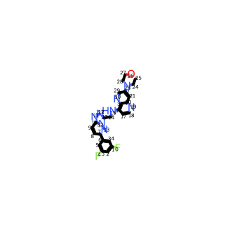 Fc1cc(F)cc(-c2ccc3nnc(CNc4ccnc5cc(N6CCOCC6)cnc45)n3n2)c1